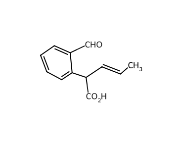 CC=CC(C(=O)O)c1ccccc1C=O